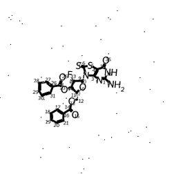 Nc1nc2c(sc(=S)n2[C@@H]2O[C@H](COC(=O)c3ccccc3)[C@@H](OC(=O)c3ccccc3)[C@@H]2F)c(=O)[nH]1